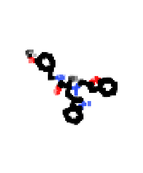 CC(Cc1c[nH]c2ccccc12)(NCc1cc2ccccc2o1)C(=O)NCc1cccc(OC(F)(F)F)c1